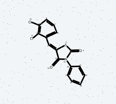 O=C1S/C(=C\c2cccc(Cl)c2Cl)C(=O)N1c1ccccc1